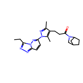 CCc1nnc2ccc(-n3nc(C)c(CCC(=O)N4CC5CCC4C5)c3C)nn12